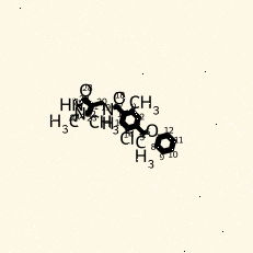 Cc1cc(C(C)Oc2ccccc2)c(Cl)cc1C(=O)NCc1c(C)n(C)[nH]c1=O